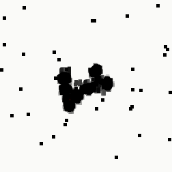 Cc1cc(-c2ccc(C34CC5CC(CC(c6ccc(-c7ccc(C#N)cc7)cc6)(C5)C3)C4)cc2)cc(C)c1-c1nc(-c2ccccc2)nc(-c2ccccc2)n1